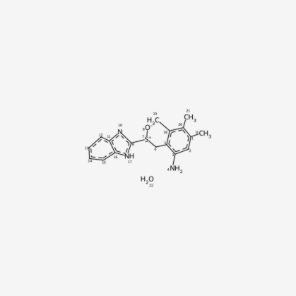 Cc1cc(N)c(C[S+]([O-])c2nc3ccccc3[nH]2)c(C)c1C.O